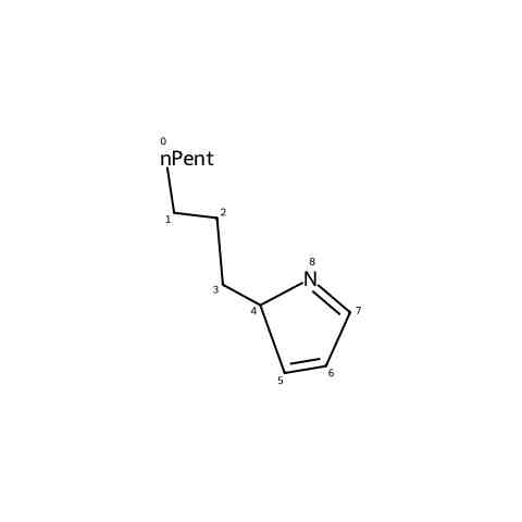 CCCCCCCCC1C=CC=N1